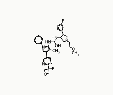 COCCN1C[C@@H](n2ccc(F)c2)[C@H](NC(O)Nc2c(C)c(-c3cnc(C4(F)COC4)nc3)nn2-c2ccccc2)C1